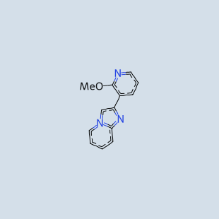 COc1ncccc1-c1cn2ccccc2n1